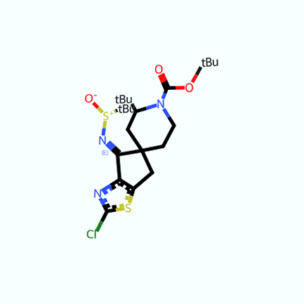 CC(C)(C)OC(=O)N1CCC2(Cc3sc(Cl)nc3/C2=N/[S+]([O-])C(C)(C)C)CC1C(C)(C)C